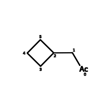 CC(=O)CC1CCC1